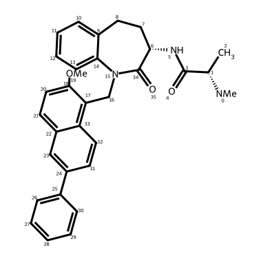 CN[C@@H](C)C(=O)N[C@H]1CCc2ccccc2N(Cc2c(OC)ccc3cc(-c4ccccc4)ccc23)C1=O